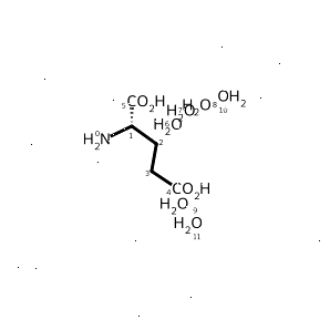 N[C@@H](CCC(=O)O)C(=O)O.O.O.O.O.O.O